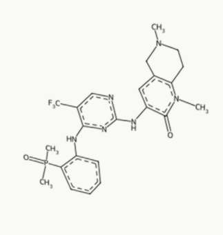 CN1CCc2c(cc(Nc3ncc(C(F)(F)F)c(Nc4ccccc4P(C)(C)=O)n3)c(=O)n2C)C1